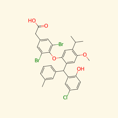 COc1cc(C(c2cccc(C)c2)c2cc(Cl)ccc2O)c(Oc2c(Br)cc(CC(=O)O)cc2Br)cc1C(C)C